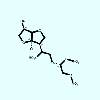 O=C(O)C(CC[C@@H](CO[N+](=O)[O-])O[N+](=O)[O-])[C@@H]1COC2[C@H](O)CO[C@@H]21